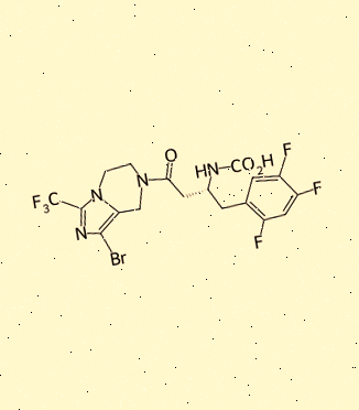 O=C(O)N[C@@H](CC(=O)N1CCn2c(C(F)(F)F)nc(Br)c2C1)Cc1cc(F)c(F)cc1F